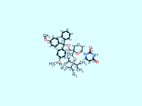 COc1ccc(C(OC[C@@]2(CO[Si](C(C)C)(C(C)C)C(C)C)COC[C@H](n3ccc(=O)[nH]c3=O)O2)(c2ccccc2)c2ccc(OC)cc2)cc1